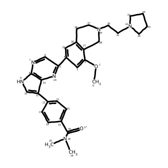 COc1cc(-c2cnc3[nH]cc(-c4ccc(C(=O)N(C)C)cc4)c3n2)cc2c1CN(CCN1CCCC1)CC2